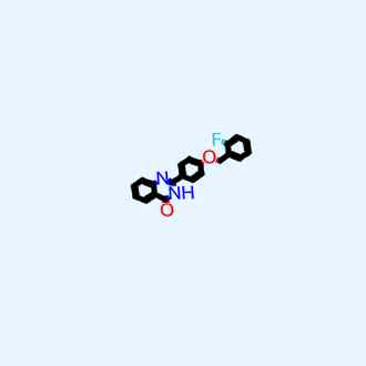 O=c1[nH]c(-c2ccc(OCc3ccccc3F)cc2)nc2ccccc12